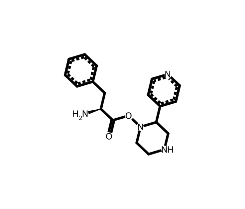 N[C@@H](Cc1ccccc1)C(=O)ON1CCNCC1c1ccncc1